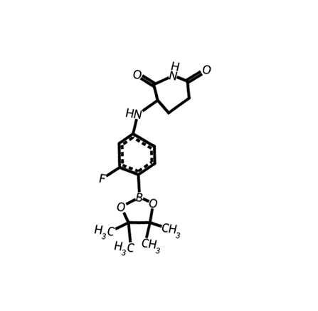 CC1(C)OB(c2ccc(NC3CCC(=O)NC3=O)cc2F)OC1(C)C